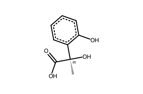 C[C@](O)(C(=O)O)c1ccccc1O